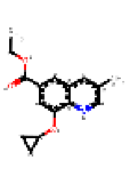 CCOC(=O)c1cc(OC2CC2)c2ncc(C)cc2c1